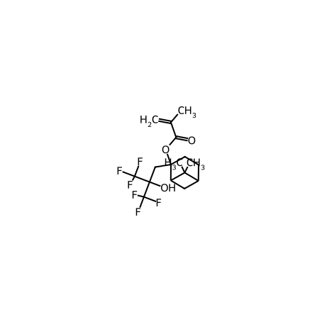 C=C(C)C(=O)OC1(CC(O)(C(F)(F)F)C(F)(F)F)CCC2CC1C2(C)C